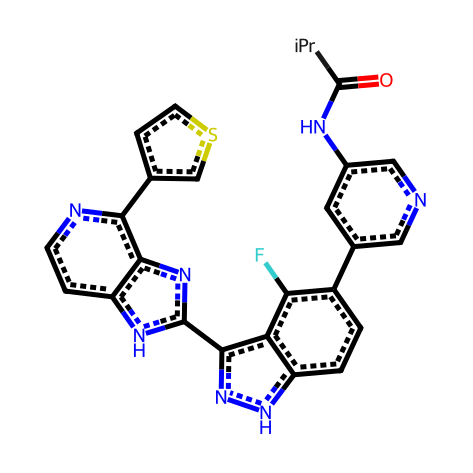 CC(C)C(=O)Nc1cncc(-c2ccc3[nH]nc(-c4nc5c(-c6ccsc6)nccc5[nH]4)c3c2F)c1